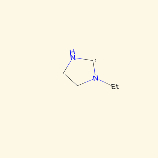 CCN1[C]NCC1